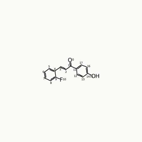 O=C(/C=C/c1ccccc1F)c1ccc(O)cc1